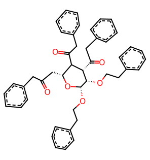 O=C(Cc1ccccc1)C[C@H]1O[C@@H](OCCc2ccccc2)[C@@H](OCCc2ccccc2)[C@@H](C(=O)Cc2ccccc2)C1C(=O)Cc1ccccc1